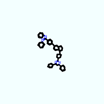 c1ccc(-c2cc(-c3ccccc3)nc(-c3ccc(-c4cccc5cc(-c6ccc(-c7nc8ccccc8n7-c7ccccc7)cc6)ccc45)cc3)n2)cc1